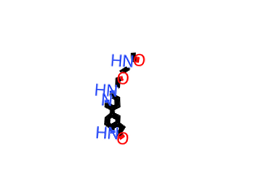 CC(=O)NCCOCCNc1ccc(-c2ccc3c(c2)CC(=O)N3)cn1